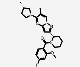 COc1cc(F)ccc1C(=O)N1CCCC[C@H]1c1cc2nc(N3CC[C@H](C)C3)c(C)cn2n1